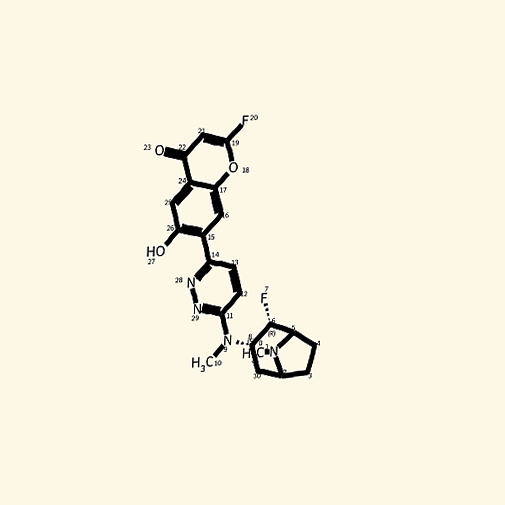 CN1C2CCC1[C@@H](F)[C@@H](N(C)c1ccc(-c3cc4oc(F)cc(=O)c4cc3O)nn1)C2